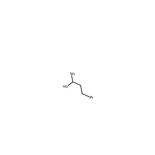 CC(C)CCC(O)N=O